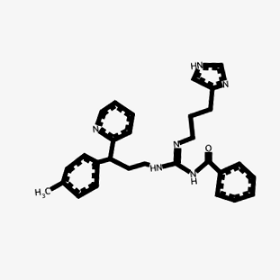 Cc1ccc(C(CCNC(=NCCCc2c[nH]cn2)NC(=O)c2ccccc2)c2ccccn2)cc1